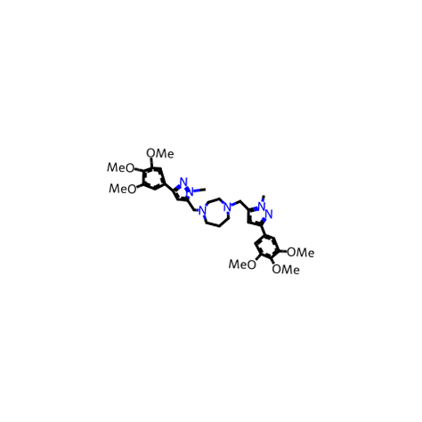 COc1cc(-c2cc(CN3CCCN(Cc4cc(-c5cc(OC)c(OC)c(OC)c5)nn4C)CC3)n(C)n2)cc(OC)c1OC